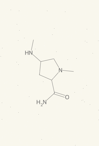 CNC1CC(C(N)=O)N(C)C1